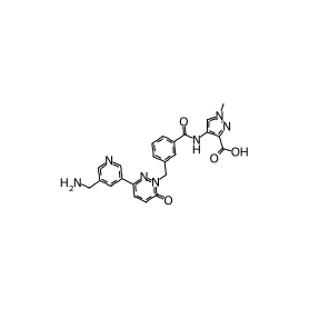 Cn1cc(NC(=O)c2cccc(Cn3nc(-c4cncc(CN)c4)ccc3=O)c2)c(C(=O)O)n1